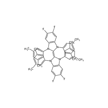 Cc1cc(C)cc(N2C(=C3N(c4cc(C)cc(C)c4)c4cc(F)c(F)cc4N3c3cc(C)cc(C)c3)N(c3cc(C)cc(C)c3)c3cc(F)c(F)cc32)c1